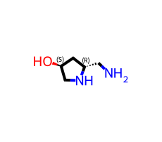 NC[C@H]1C[C@H](O)CN1